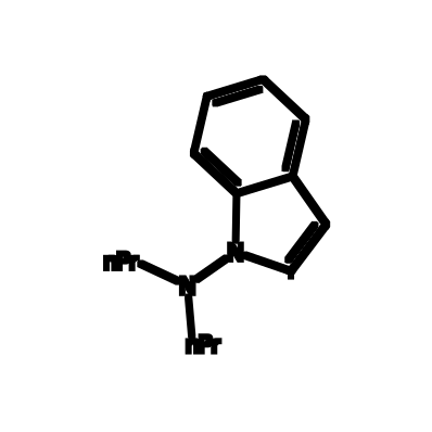 CCCN(CCC)n1[c]cc2ccccc21